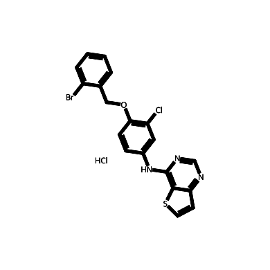 Cl.Clc1cc(Nc2ncnc3ccsc23)ccc1OCc1ccccc1Br